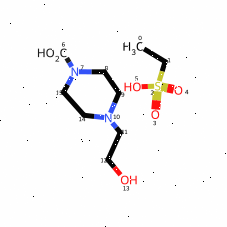 CCS(=O)(=O)O.O=C(O)N1CCN(CCO)CC1